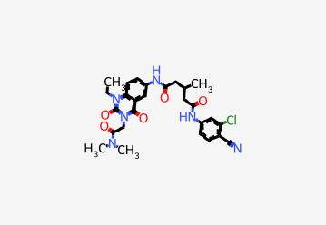 CCn1c(=O)n(CC(=O)N(C)C)c(=O)c2cc(NC(=O)CC(C)CC(=O)Nc3ccc(C#N)c(Cl)c3)ccc21